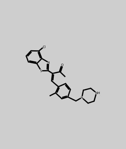 CC(=O)/C(=C\c1ccc(CN2CCNCC2)cc1C)c1nc2c(Cl)cccc2s1